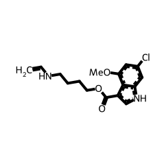 C=CNCCCCOC(=O)c1c[nH]c2cc(Cl)cc(OC)c12